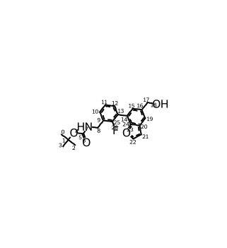 CC(C)(C)OC(=O)NCc1cccc(-c2cc(CO)cc3ccoc23)c1F